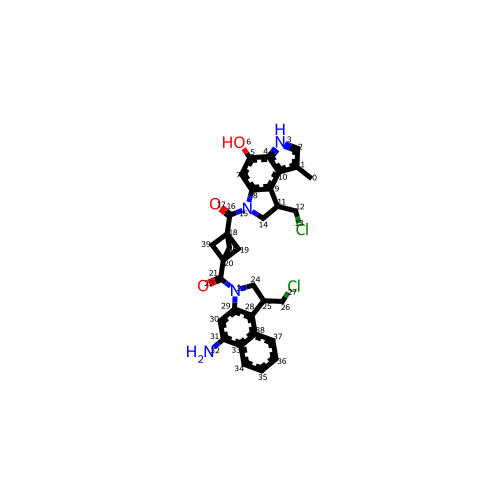 Cc1c[nH]c2c(O)cc3c(c12)C(CCl)CN3C(=O)C12CC(C(=O)N3CC(CCl)c4c3cc(N)c3ccccc43)(C1)C2